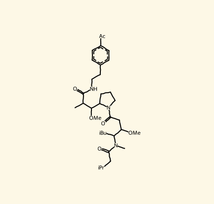 CCC(C)C(C(CC(=O)N1CCCC1C(OC)C(C)C(=O)NCCc1ccc(C(C)=O)cc1)OC)N(C)C(=O)CC(C)C